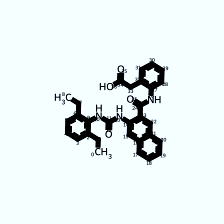 CCc1cccc(CC)c1NC(=O)Nc1cc2ccccc2cc1C(=O)Nc1ccccc1CC(=O)O